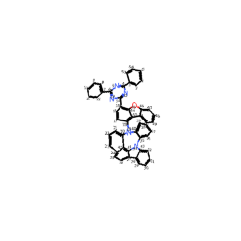 c1ccc(-c2nc(-c3ccccc3)nc(-c3ccc(-n4c5cccc6ccc7c8ccccc8n(c8ccccc84)c7c65)c4c3oc3ccccc34)n2)cc1